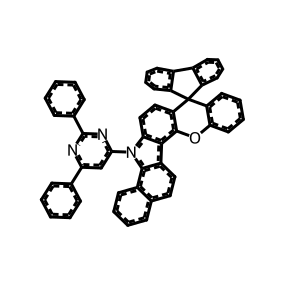 c1ccc(-c2cc(-n3c4ccc5c(c4c4ccc6ccccc6c43)Oc3ccccc3C53c4ccccc4-c4ccccc43)nc(-c3ccccc3)n2)cc1